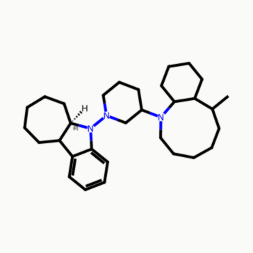 CC1CCCCCN(C2CCCN(N3c4ccccc4C4CCCCC[C@H]43)C2)C2CCCCC12